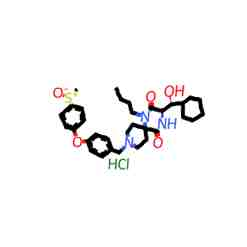 CCCCN1C(=O)[C@@H]([C@H](O)C2CCCCC2)NC(=O)C12CCN(Cc1ccc(Oc3ccc([S+](C)[O-])cc3)cc1)CC2.Cl